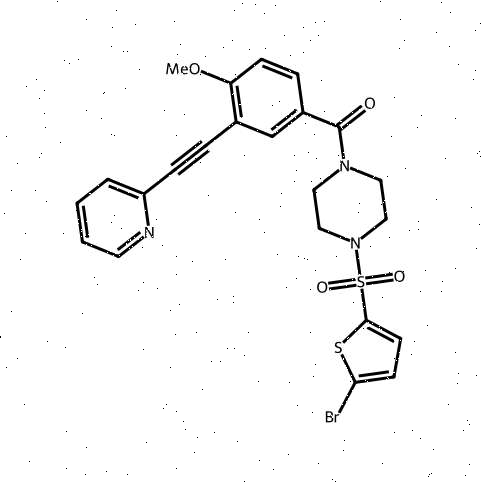 COc1ccc(C(=O)N2CCN(S(=O)(=O)c3ccc(Br)s3)CC2)cc1C#Cc1ccccn1